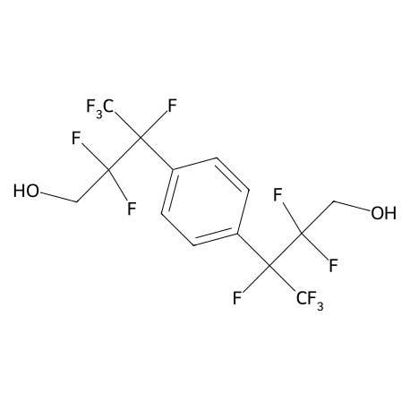 OCC(F)(F)C(F)(c1ccc(C(F)(C(F)(F)F)C(F)(F)CO)cc1)C(F)(F)F